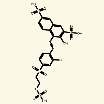 O=S(=O)(O)OCCS(=O)(=O)c1ccc(N=Nc2c(O)c(S(=O)(=O)O)cc3cc(S(=O)(=O)O)ccc23)c(Br)c1